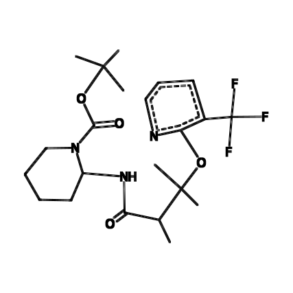 CC(C(=O)NC1CCCCN1C(=O)OC(C)(C)C)C(C)(C)Oc1ncccc1C(F)(F)F